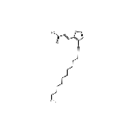 CCCCCCCCCCCC#Cc1ccoc1C=CC(=O)O